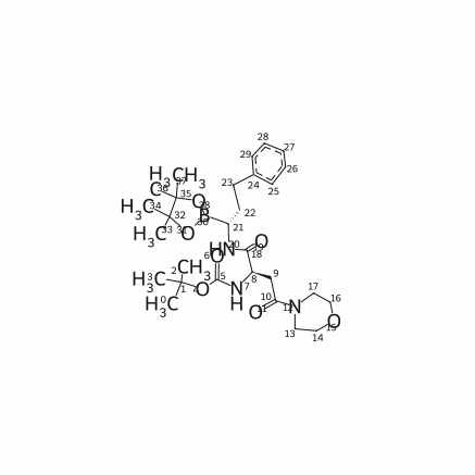 CC(C)(C)OC(=O)N[C@H](CC(=O)N1CCOCC1)C(=O)N[C@@H](CCc1ccccc1)B1OC(C)(C)C(C)(C)O1